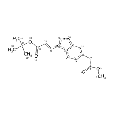 COC(=O)Cc1ccc2c(ccn2C=CC(=O)OC(C)(C)C)c1